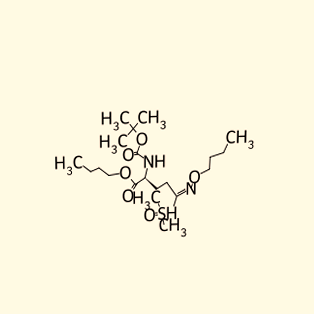 CCCCO/N=C(\CC[C@H](NC(=O)OC(C)(C)C)C(=O)OCCCC)C[SH](C)(C)=O